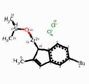 CC1=Cc2cc(C(C)(C)C)ccc2[CH]1[Zr+2][O][SiH](C)C.[Cl-].[Cl-]